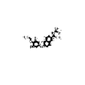 CCOc1c(F)cc(Oc2ccc3cc(C(C)NC(C)=O)ccc3c2)cc1F